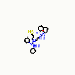 SCCCN(CCN/C(=N/C1CCCCC1)NC1CCCCC1)/C(=N\C1CCCCC1)NC1CCCCC1